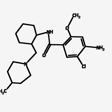 COc1cc(N)c(Cl)cc1C(=O)NC1CCCCC1CN1CCC(C)CC1